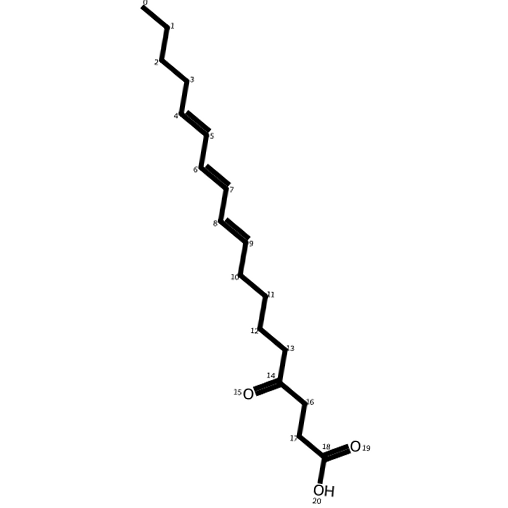 CCCCC=CC=CC=CCCCCC(=O)CCC(=O)O